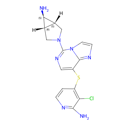 Nc1nccc(Sc2cnc(N3C[C@@H]4[C@@H](N)[C@@H]4C3)n3ccnc23)c1Cl